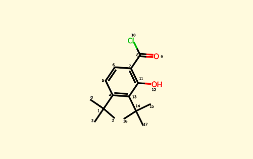 CC(C)(C)c1ccc(C(=O)Cl)c(O)c1C(C)(C)C